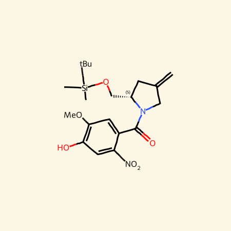 C=C1C[C@@H](CO[Si](C)(C)C(C)(C)C)N(C(=O)c2cc(OC)c(O)cc2[N+](=O)[O-])C1